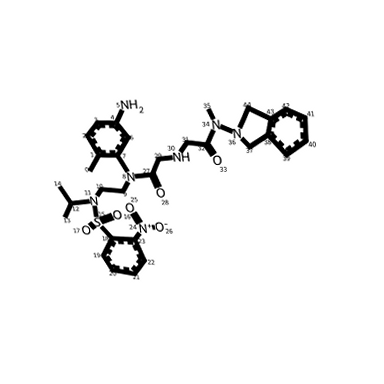 Cc1ccc(N)cc1N(CCN(C(C)C)S(=O)(=O)c1ccccc1[N+](=O)[O-])C(=O)CNCC(=O)N(C)N1Cc2ccccc2C1